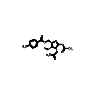 CC(=O)OC1O[C@H](COC(=O)c2ccc(C)cc2)[C@@H](CF)[C@H]1OC(C)=O